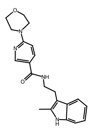 Cc1[nH]c2ccccc2c1CCNC(=O)c1ccc(N2CCOCC2)nc1